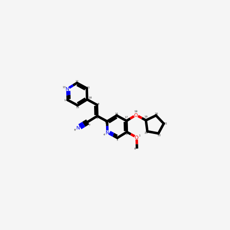 COc1cnc(C(C#N)=Cc2ccncc2)cc1OC1CCCC1